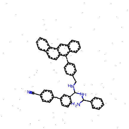 N#Cc1ccc(-c2cccc(C(NCc3ccc(-c4c5ccccc5cc5c4ccc4ccccc45)cc3)NC(N)c3ccccc3)c2)cc1